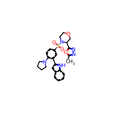 Cc1nnc(C2COCCN2S(=O)(=O)c2ccc(N3CCCC3)c(-c3cc4ccccc4[nH]3)c2)o1